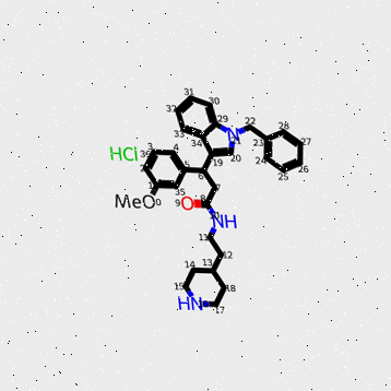 COc1cccc(C(CC(=O)NCCC2CCNCC2)c2cn(Cc3ccccc3)c3ccccc23)c1.Cl